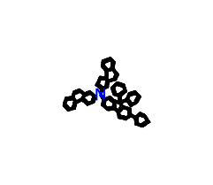 c1ccc(-c2ccc3c(c2)C(c2ccccc2)(c2ccccc2)c2cc(N(c4ccc5c(ccc6ccccc65)c4)c4ccc5c(ccc6ccccc65)c4)ccc2-3)cc1